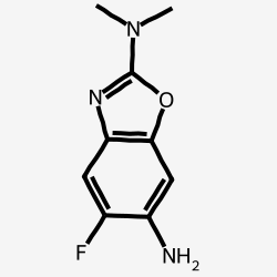 CN(C)c1nc2cc(F)c(N)cc2o1